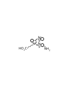 CN1/C(=C\C2=CC(=Cc3sc4ccccc4[n+]3C)c3ccccc3N2CCCCCC(=O)O)Sc2cc(CN)ccc21